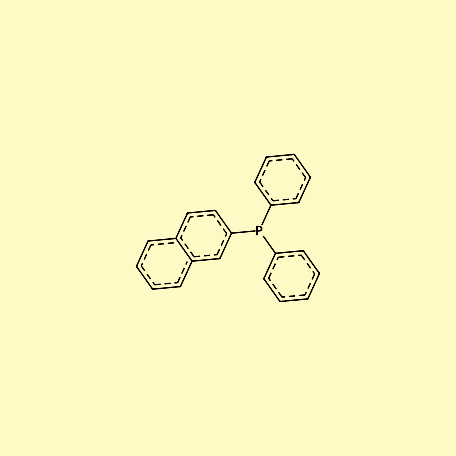 c1ccc(P(c2ccccc2)c2ccc3ccccc3c2)cc1